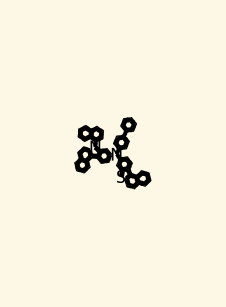 c1ccc(-c2ccc(N(c3ccc4c(c3)sc3ccc5ccccc5c34)c3ccc4c5c6ccccc6ccc5n(-c5cccc6ccccc56)c4c3)cc2)cc1